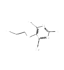 ClCCSc1c(Br)nc(Br)nc1Br